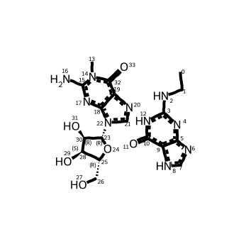 CCNc1nc2nc[nH]c2c(=O)[nH]1.Cn1c(N)nc2c(ncn2[C@@H]2O[C@H](CO)[C@@H](O)[C@H]2O)c1=O